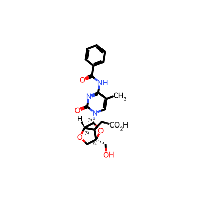 Cc1cn([C@@H]2O[C@@]3(CO)CO[C@H]2C3CC(=O)O)c(=O)nc1NC(=O)c1ccccc1